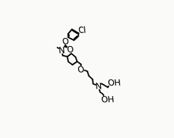 CN(CC1CCC(COCCCCN(CCO)CCO)CC1)C(=O)Oc1ccc(Cl)cc1